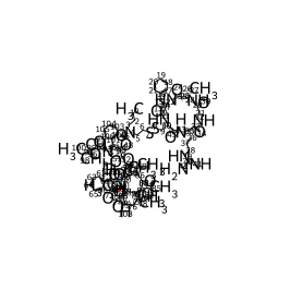 CCCCN(CCSSC[C@@H]1NC(=O)[C@@H](Cc2ccccc2)NC(=O)[C@H](CC)NC(=O)CNC(=O)[C@H](CCCNC(=N)N)NC1=O)C(=O)O[C@@H](C(=O)OC1C[C@@]2(O)[C@@H](OC(=O)c3ccccc3)[C@@H]3[C@]4(OC(C)=O)CO[C@@H]4C[C@H](C)[C@@]3(C)C(=O)[C@H](OC)C(=C1C)C2(C)C)[C@@H](NC(=O)OC(C)(C)C)c1ccccc1